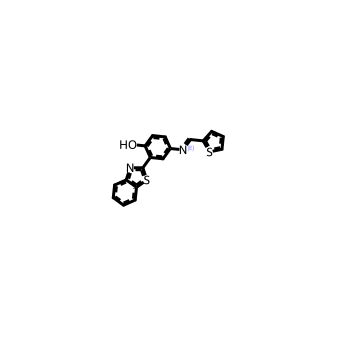 Oc1ccc(/N=C/c2cccs2)cc1-c1nc2ccccc2s1